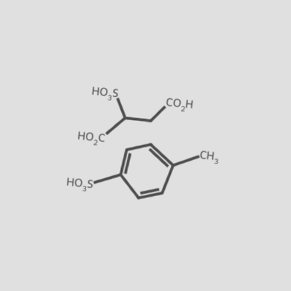 Cc1ccc(S(=O)(=O)O)cc1.O=C(O)CC(C(=O)O)S(=O)(=O)O